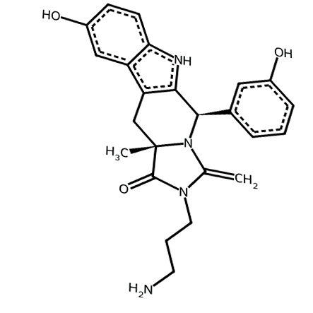 C=C1N(CCCN)C(=O)[C@]2(C)Cc3c([nH]c4ccc(O)cc34)[C@@H](c3cccc(O)c3)N12